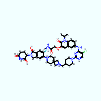 CNC(=O)COc1cc2cc(Nc3nc(N4CCC(CN5CC6(CCN(c7cc8c(cc7F)C(=O)N(C7CCC(=O)NC7=O)C8)CC6)C5)CC4)ncc3Cl)ccc2n(C(C)C)c1=O